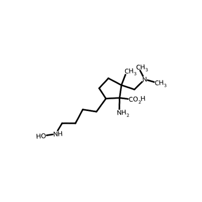 CN(C)CC1(C)CCC(CCCCNO)C1(N)C(=O)O